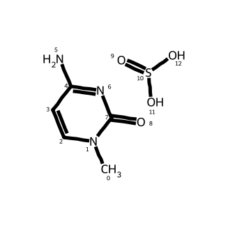 Cn1ccc(N)nc1=O.O=S(O)O